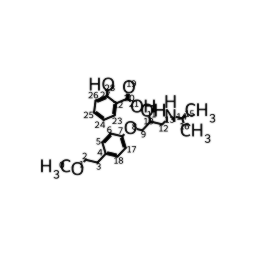 COCCc1ccc(OCC(O)CNC(C)C)cc1.O=C(O)c1ccccc1O